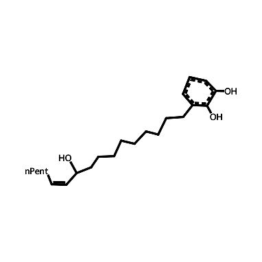 CCCCC/C=C\C(O)CCCCCCCCCc1cccc(O)c1O